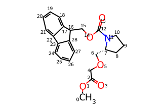 COC(=O)COC[C@H]1CCCN1C(=O)OCC1c2ccccc2-c2ccccc21